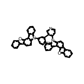 N#Cc1ccc(-n2c3ccccc3c3c4oc5ccccc5c4ccc32)cc1-c1cnccc1-n1c2ccccc2c2c3oc4ccccc4c3ccc21